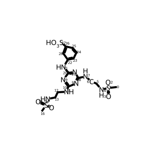 CS(=O)(=O)NCCNc1nc(NCCNS(C)(=O)=O)nc(Nc2cccc(S(=O)(=O)O)c2)n1